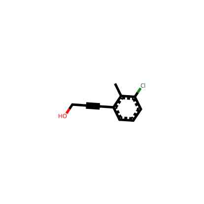 Cc1c(Cl)cccc1C#CCO